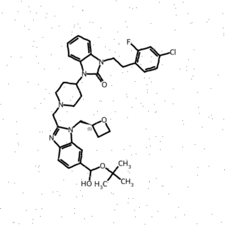 CC(C)(C)OC(O)c1ccc2nc(CN3CCC(n4c(=O)n(CCc5ccc(Cl)cc5F)c5ccccc54)CC3)n(C[C@@H]3CCO3)c2c1